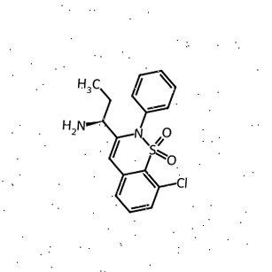 CC[C@H](N)C1=Cc2cccc(Cl)c2S(=O)(=O)N1c1ccccc1